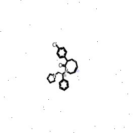 O=C1C(c2ccc(Cl)cc2)CC/C=C\CN1[C@H](CN1CCCC1)c1ccccc1